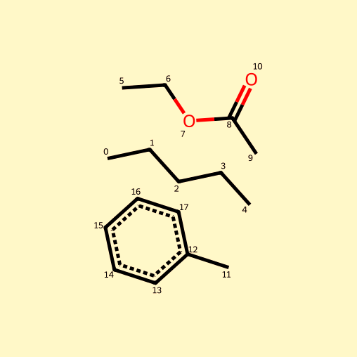 CCCCC.CCOC(C)=O.Cc1ccccc1